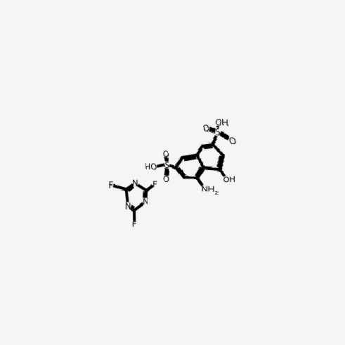 Fc1nc(F)nc(F)n1.Nc1cc(S(=O)(=O)O)cc2cc(S(=O)(=O)O)cc(O)c12